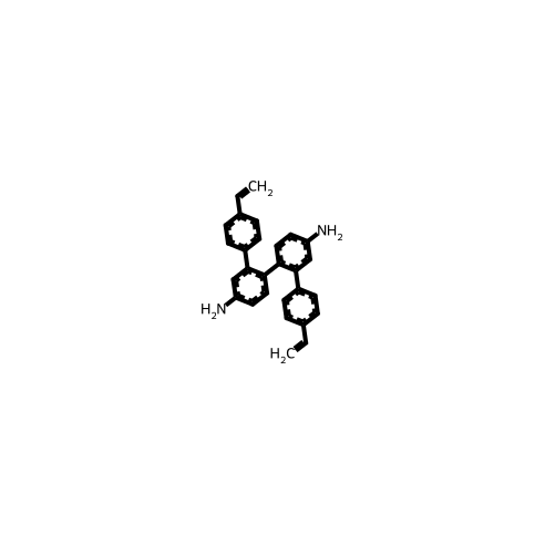 C=Cc1ccc(-c2cc(N)ccc2-c2ccc(N)cc2-c2ccc(C=C)cc2)cc1